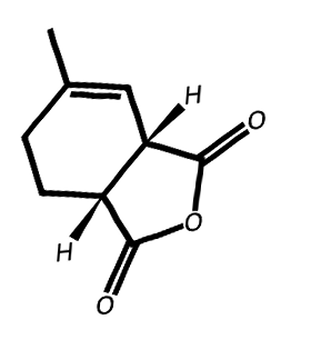 CC1=C[C@@H]2C(=O)OC(=O)[C@@H]2CC1